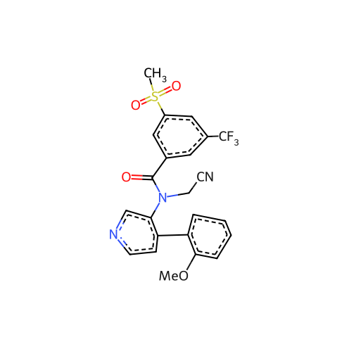 COc1ccccc1-c1ccncc1N(CC#N)C(=O)c1cc(C(F)(F)F)cc(S(C)(=O)=O)c1